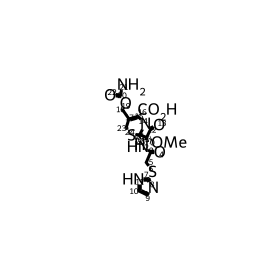 CO[C@@]1(NC(=O)CSc2ncc[nH]2)C(=O)N2C(C(=O)O)=C(COC(N)=O)CS[C@H]21